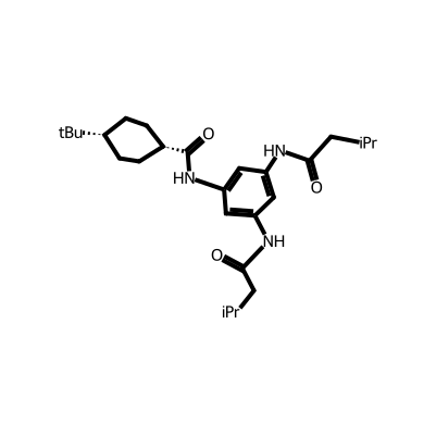 CC(C)CC(=O)Nc1cc(NC(=O)CC(C)C)cc(NC(=O)[C@H]2CC[C@@H](C(C)(C)C)CC2)c1